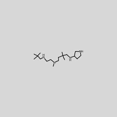 CN(CCNCC(C)(C)C)CCC(C)(C)CNC1CCNC1